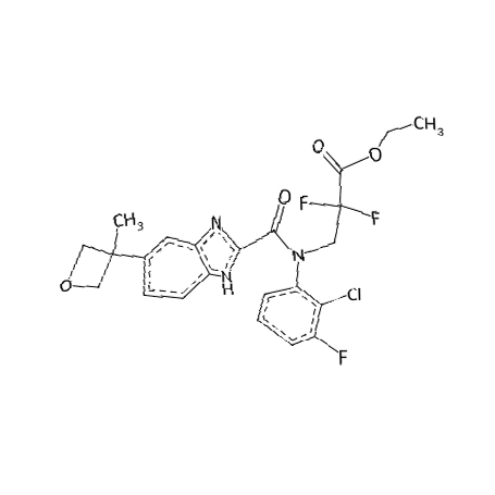 CCOC(=O)C(F)(F)CN(C(=O)c1nc2cc(C3(C)COC3)ccc2[nH]1)c1cccc(F)c1Cl